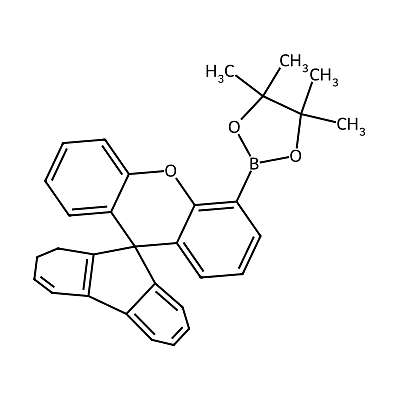 CC1(C)OB(c2cccc3c2Oc2ccccc2C32C3=C(C=CCC3)c3ccccc32)OC1(C)C